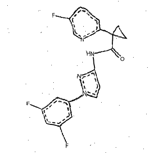 O=C(Nc1ccn(-c2cc(F)cc(F)c2)n1)C1(c2ccc(F)cn2)CC1